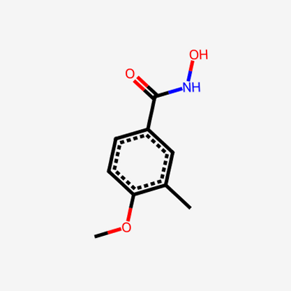 COc1ccc(C(=O)NO)cc1C